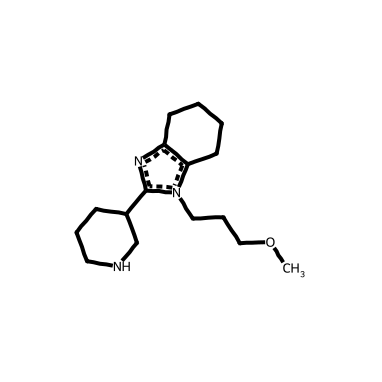 COCCCn1c(C2CCCNC2)nc2c1CCCC2